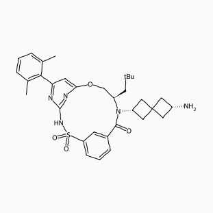 Cc1cccc(C)c1-c1cc2nc(n1)NS(=O)(=O)c1cccc(c1)C(=O)N([C@H]1CC3(C[C@@H](N)C3)C1)[C@H](CC(C)(C)C)CO2